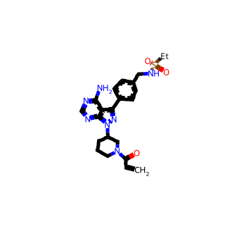 C=CC(=O)N1CCCC(n2nc(-c3ccc(CNS(=O)(=O)CC)cc3)c3c(N)ncnc32)C1